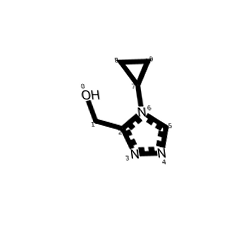 OCc1nncn1C1CC1